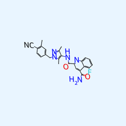 Cc1cc(Cn2nc(C)c(NC(=O)c3cc(C(N)=O)c4c(F)cccc4n3)c2C)ccc1C#N